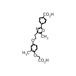 Cc1cc(OCCc2nc(-c3ccc(C(=O)O)cc3)oc2C)ccc1OCC(=O)O